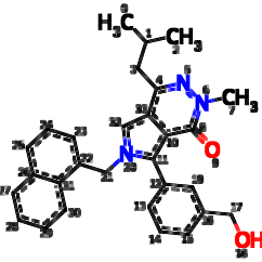 CC(C)Cc1nn(C)c(=O)c2c(-c3cccc(CO)c3)n(Cc3cccc4ccccc34)cc12